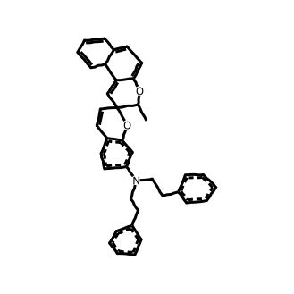 CC1OC2=CC=C3C=CC=CC3C2=CC12C=Cc1ccc(N(CCc3ccccc3)CCc3ccccc3)cc1O2